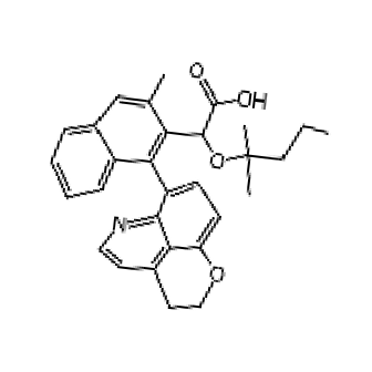 CCCC(C)(C)OC(C(=O)O)c1c(C)cc2ccccc2c1-c1ccc2c3c(ccnc13)CCO2